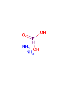 N.N.O=[PH](O)O